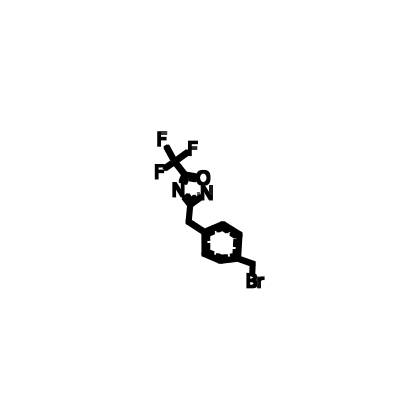 FC(F)(F)c1nc(Cc2ccc(CBr)cc2)no1